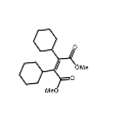 COC(=O)/C(=C(\C(=O)OC)C1CCCCC1)C1CCCCC1